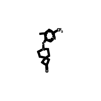 Cc1cc(C(F)(F)F)ncc1SN1CCC2(CC1)CC(=O)C2